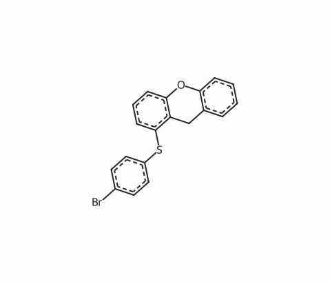 Brc1ccc(Sc2cccc3c2Cc2ccccc2O3)cc1